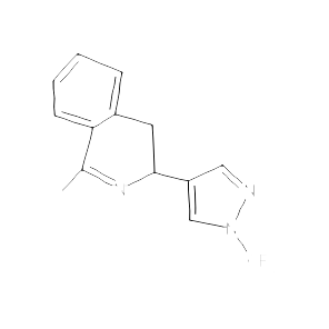 CC1=NC(c2cnn(C(F)(F)F)c2)Cc2ccccc21